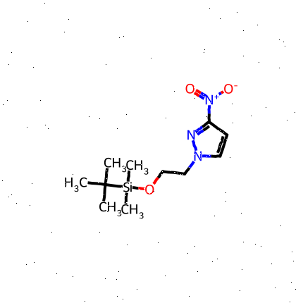 CC(C)(C)[Si](C)(C)OCCn1ccc([N+](=O)[O-])n1